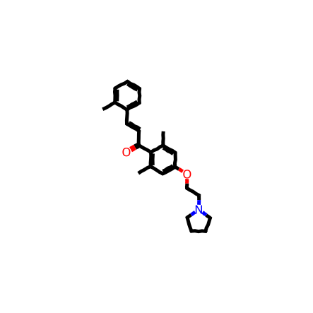 Cc1ccccc1C=CC(=O)c1c(C)cc(OCCN2CCCC2)cc1C